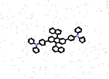 C1=CCCC(N(C2=CCC(C3C=c4c(-c5cccc6c5CCC=C6)c5ccc(-c6ccc(N(c7ccccc7)C7C=CC=CC7)cc6)cc5c(-c5cccc6ccccc56)c4=CC3)C=C2)c2ccccc2)=C1